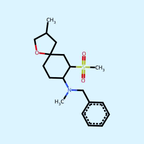 CC1COC2(CCC(N(C)Cc3ccccc3)C(S(C)(=O)=O)C2)C1